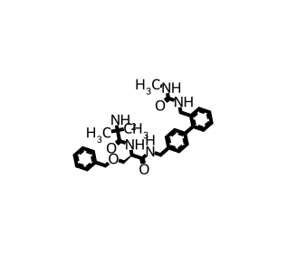 CNC(=O)NCc1ccccc1-c1ccc(CNC(=O)[C@@H](COCc2ccccc2)NC(=O)C(C)(C)N)cc1